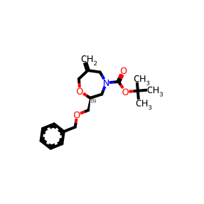 C=C1CO[C@H](COCc2ccccc2)CN(C(=O)OC(C)(C)C)C1